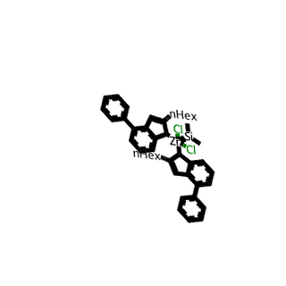 CCCCCCC1=Cc2c(-c3ccccc3)cccc2[CH]1[Zr]([Cl])([Cl])([CH]1C(CCCCCC)=Cc2c(-c3ccccc3)cccc21)=[Si](C)C